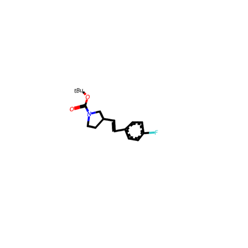 CC(C)(C)OC(=O)N1CCC(/C=C/c2ccc(F)cc2)C1